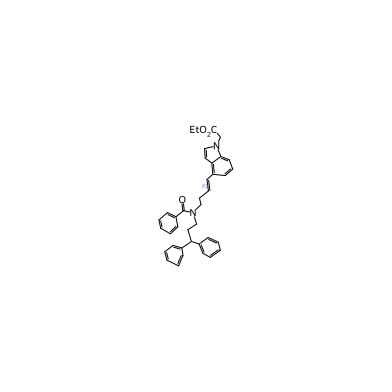 CCOC(=O)Cn1ccc2c(/C=C/CCN(CCC(c3ccccc3)c3ccccc3)C(=O)c3ccccc3)cccc21